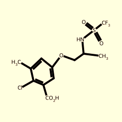 Cc1cc(OCC(C)NS(=O)(=O)C(F)(F)F)cc(C(=O)O)c1Cl